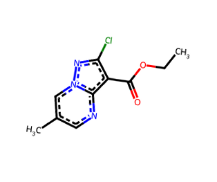 CCOC(=O)c1c(Cl)nn2cc(C)cnc12